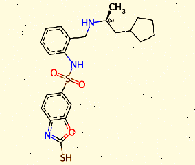 C[C@@H](CC1CCCC1)NCc1ccccc1NS(=O)(=O)c1ccc2nc(S)oc2c1